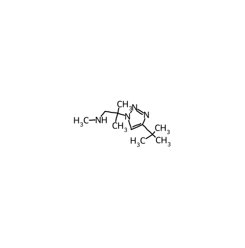 CNCC(C)(C)n1cc(C(C)(C)C)nn1